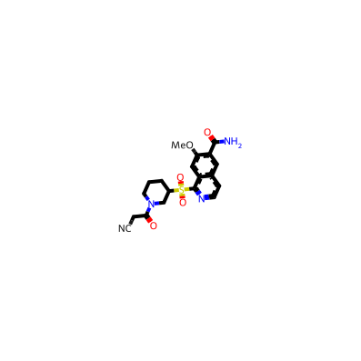 COc1cc2c(S(=O)(=O)C3CCCN(C(=O)CC#N)C3)nccc2cc1C(N)=O